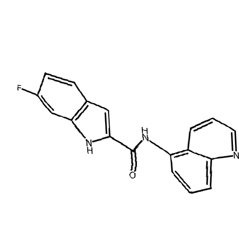 O=C(Nc1cccc2ncccc12)c1cc2ccc(F)cc2[nH]1